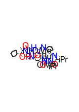 CC[C@H](C)[C@@H]([C@@H](CC(=O)N1CCCC1[C@H](OC)[C@@H](C)C(=O)N[C@H](C)[C@@H](O)c1ccccc1)OC)N(C)C(=O)C(NC(=O)C(C(C)C)N(C)Cc1cccc(N)c1)C(C)C